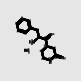 Cl.N[C@@H](Cc1ccccc1)C(=O)N1CCNC(=O)C1